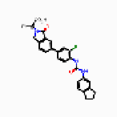 CC(C)[C@@H](C(=O)O)N1Cc2ccc(-c3ccc(NC(=O)Nc4ccc5c(c4)CCC5)c(F)c3)cc2C1=O